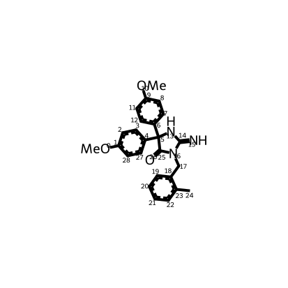 COc1ccc(C2(c3ccc(OC)cc3)NC(=N)N(Cc3ccccc3C)C2=O)cc1